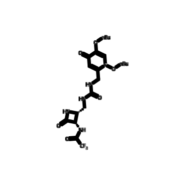 CCCCOc1cn(OCCCC)c(CNC(=O)NC[C@H]2NC(=O)[C@H]2NC(=O)C(F)(F)F)cc1=O